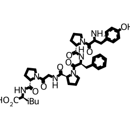 CCC(C)[C@H](NC(=O)[C@@H]1CCCN1C(=O)CNC(=O)[C@@H]1CCCN1C(=O)[C@H](Cc1ccccc1)NC(=O)[C@@H]1CCCN1C(=O)C(N)Cc1ccc(O)cc1)C(=O)O